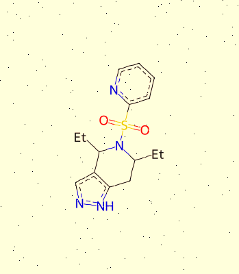 CCC1Cc2[nH]ncc2C(CC)N1S(=O)(=O)c1ccccn1